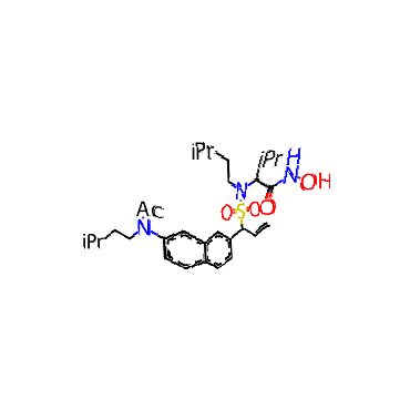 C=CC(c1ccc2ccc(N(CCC(C)C)C(C)=O)cc2c1)S(=O)(=O)N(CCC(C)C)C(C(=O)NO)C(C)C